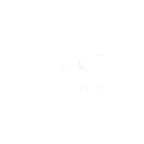 Cc1ccncc1Nc1nc(C2CC2)ccc1C#N